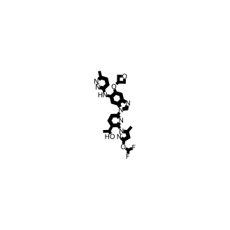 Cc1ccc(Nc2cc3c(cc2OC2COC2)ncn3-c2ccc(C(C)O)c(-n3nc(OC(F)F)cc3C)n2)nn1